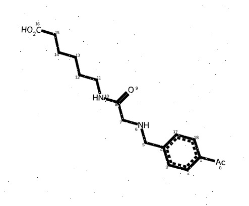 CC(=O)c1ccc(CNCC(=O)NCCCCCC(=O)O)cc1